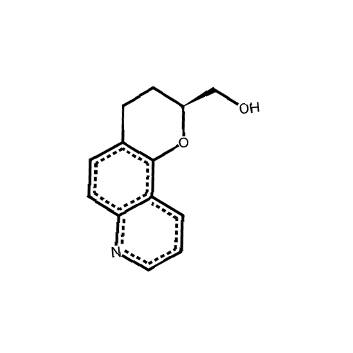 OC[C@@H]1CCc2ccc3ncccc3c2O1